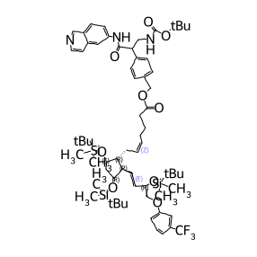 CC(C)(C)OC(=O)NCC(C(=O)Nc1ccc2cnccc2c1)c1ccc(COC(=O)CCC/C=C\C[C@@H]2[C@@H](/C=C/[C@H](COc3cccc(C(F)(F)F)c3)O[Si](C)(C)C(C)(C)C)[C@H](O[Si](C)(C)C(C)(C)C)C[C@@H]2O[Si](C)(C)C(C)(C)C)cc1